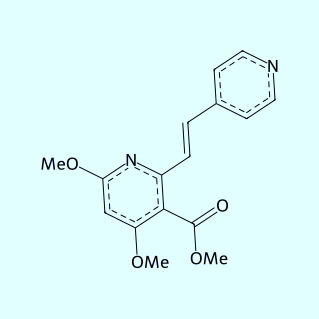 COC(=O)c1c(OC)cc(OC)nc1C=Cc1ccncc1